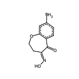 Bc1ccc2c(c1)OCC/C(=N\O)C2=O